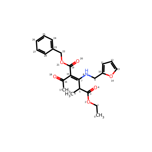 CCOC(=O)C(C)C(NCc1ccco1)=C(C(C)=O)C(=O)OCc1ccccc1